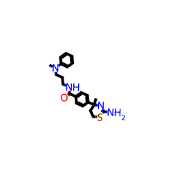 CN(CCCNC(=O)c1ccc(C2(C)CCSC(N)=N2)cc1)c1ccccc1